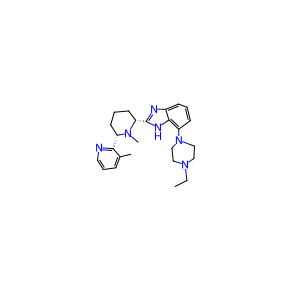 CCN1CCN(c2cccc3nc([C@H]4CCC[C@@H](c5ncccc5C)N4C)[nH]c23)CC1